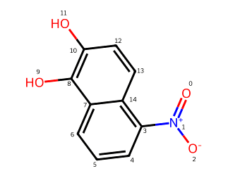 O=[N+]([O-])c1cccc2c(O)c(O)ccc12